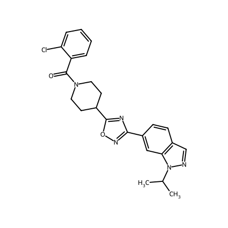 CC(C)n1ncc2ccc(-c3noc(C4CCN(C(=O)c5ccccc5Cl)CC4)n3)cc21